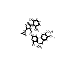 Cc1cc(CN(C)c2ccc(OCC3C(c4c(C)cccc4Cl)=NOC3C3CC3)nc2C(F)(F)F)ccc1C(=O)O